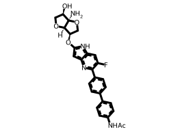 CC(=O)Nc1ccc(-c2ccc(-c3nc4cc(O[C@@H]5CO[C@]6(N)[C@H](O)CO[C@H]56)[nH]c4cc3F)cc2)cc1